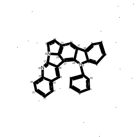 c1ccc(-n2c3ccccc3c3cc4ccn5c6nc7ccccc7cc6c(c32)c45)cc1